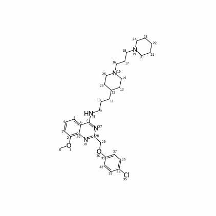 COc1cccc2c(NCCCC3CCN(CCCN4CCCCC4)CC3)nc(COc3ccc(Cl)cc3)nc12